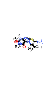 CCn1c(=O)c2c(nc(SCCN)n2CC=C(C)C)n(C)c1=O